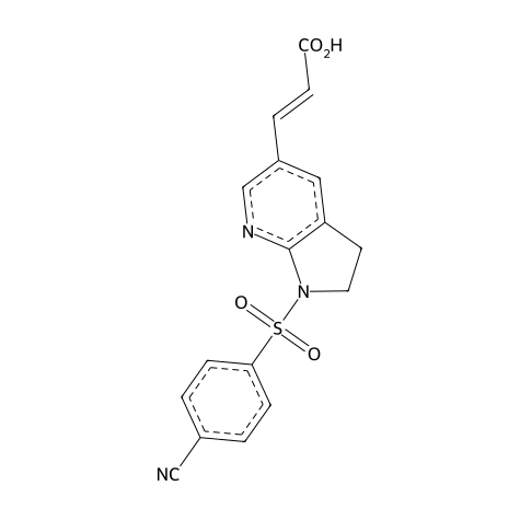 N#Cc1ccc(S(=O)(=O)N2CCc3cc(C=CC(=O)O)cnc32)cc1